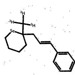 [2H]C([2H])([2H])C1(CC=Cc2ccccc2)CCCC[Se]1